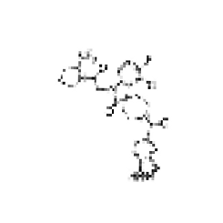 O=C(c1ccc2[nH]ncc2n1)N1CCC2(CC1)C(=O)N(CC(=O)N1CCCC1C(F)(F)F)c1ccc(F)c(Cl)c12